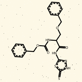 O=C(NC(COCc1ccccc1)C(=O)Nc1n[nH]c(=S)s1)OCc1ccccc1